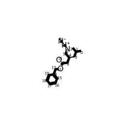 CC(C)C[C@H](CN=[N+]=[N-])CC(=O)OCc1ccccc1